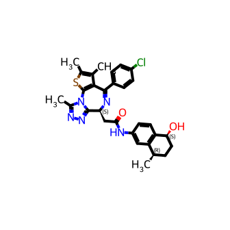 Cc1sc2c(c1C)C(c1ccc(Cl)cc1)=N[C@@H](CC(=O)Nc1ccc3c(c1)[C@H](C)CC[C@@H]3O)c1nnc(C)n1-2